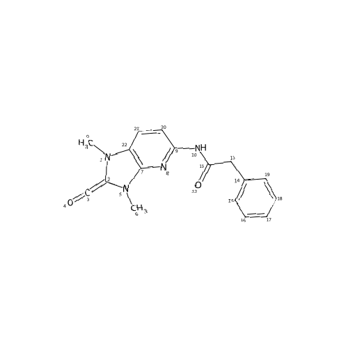 CN1C(=C=O)N(C)c2nc(NC(=O)Cc3ccccc3)ccc21